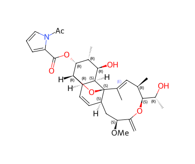 C=C1O[C@H]([C@@H](C)O)[C@H](C)/C=C(\C)[C@]23O[C@@H]4[C@H](C=C[C@@H]2C[C@@H]1OC)[C@H]3[C@H](O)[C@@H](C)[C@H]4OC(=O)c1cccn1C(C)=O